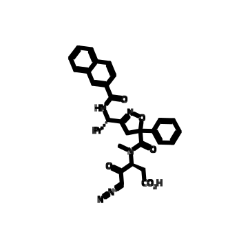 CC(C)[C@H](NC(=O)c1ccc2ccccc2c1)C1=NOC(C(=O)N(C)[C@@H](CC(=O)O)C(=O)C=[N+]=[N-])(c2ccccc2)C1